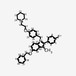 Cc1c(-c2ccc(F)cc2)n(Cc2ccc(OCCN3CCCCC3)cc2)c2ccc(OCc3ccccc3)cc12